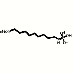 CCCCCCCCCCCCCCCCCC[SH]=P(O)(O)O